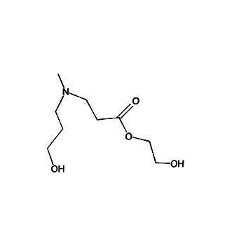 CN(CCCO)CCC(=O)OCCO